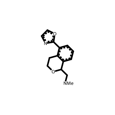 CNCC1OCCc2c(-c3ncco3)cccc21